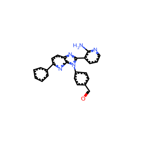 Nc1ncccc1-c1nc2ccc(-c3ccccc3)nc2n1-c1ccc(C=O)cc1